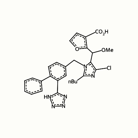 CCCCc1nc(Cl)c(C(OC)c2occc2C(=O)O)n1Cc1ccc(-c2ccccc2)c(-c2nnn[nH]2)c1